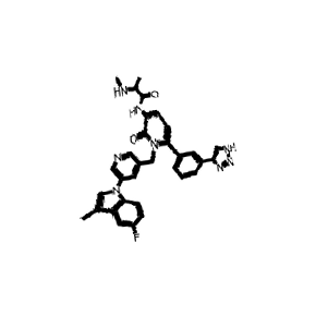 CNC(C)C(=O)Nc1ccc(-c2cccc(-c3c[nH]nn3)c2)n(Cc2cncc(-n3cc(C)c4cc(F)ccc43)c2)c1=O